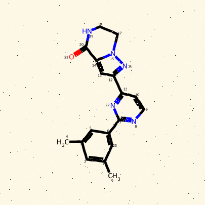 Cc1cc(C)cc(-c2nccc(-c3cc4n(n3)CCNC4=O)n2)c1